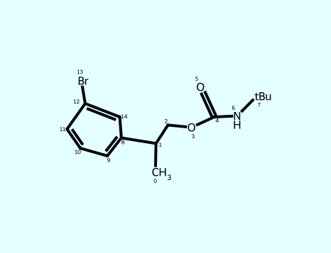 CC(COC(=O)NC(C)(C)C)c1cccc(Br)c1